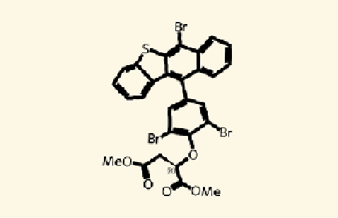 COC(=O)C[C@@H](Oc1c(Br)cc(-c2c3ccccc3c(Br)c3sc4ccccc4c23)cc1Br)C(=O)OC